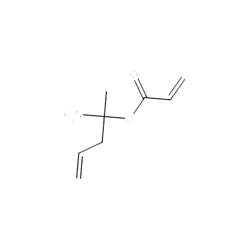 C=CCC(C)(N)OC(=O)C=C